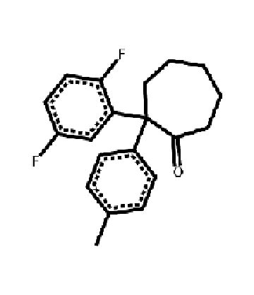 Cc1ccc(C2(c3cc(F)ccc3F)CCCCCC2=O)cc1